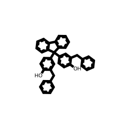 Oc1ccc(C2(c3ccc(O)c(Cc4ccccc4)c3)c3ccccc3-c3ccccc32)cc1Cc1ccccc1